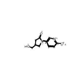 O=C1CC(CO)CN1c1ccc(C(F)(F)F)nc1